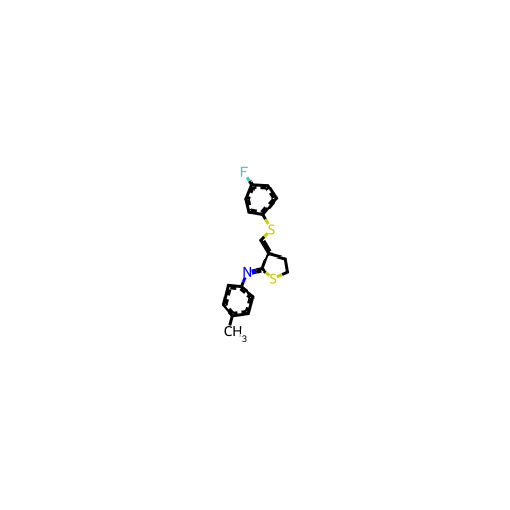 Cc1ccc(/N=C2\SCC\C2=C/Sc2ccc(F)cc2)cc1